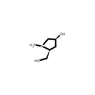 OC[C@@H]1C[C@H](O)CN1P